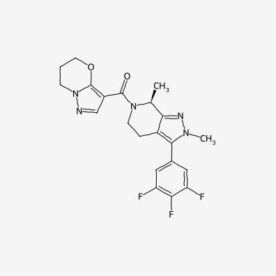 C[C@H]1c2nn(C)c(-c3cc(F)c(F)c(F)c3)c2CCN1C(=O)c1cnn2c1OCCC2